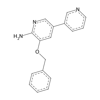 Nc1ncc(-c2cccnc2)cc1OCc1ccccc1